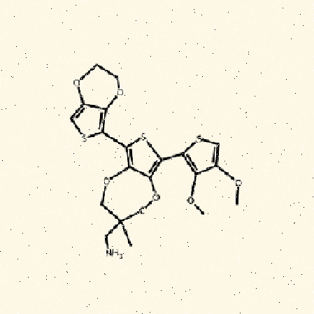 COc1csc(-c2sc(-c3scc4c3OCCO4)c3c2OCC(C)(CN)CO3)c1OC